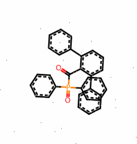 O=C(c1c(-c2ccccc2)cccc1-c1ccccc1)P(=O)(c1ccccc1)c1ccccc1